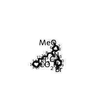 COc1ccc2c(c1)c(CCCCCc1ccccc1C(=O)O)c(C)n2Cc1ccc(Br)cc1